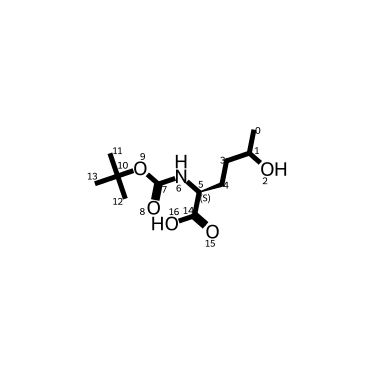 CC(O)CC[C@H](NC(=O)OC(C)(C)C)C(=O)O